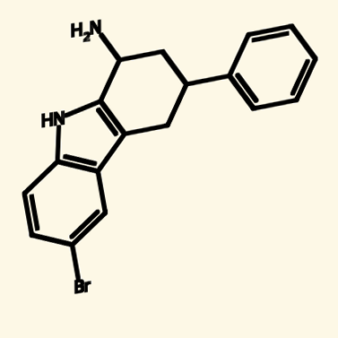 NC1CC(c2ccccc2)Cc2c1[nH]c1ccc(Br)cc21